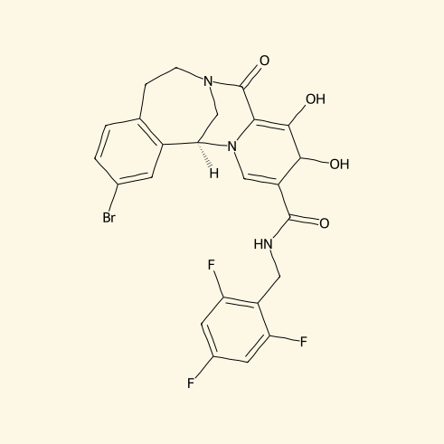 O=C(NCc1c(F)cc(F)cc1F)C1=CN2C(=C(O)C1O)C(=O)N1CCc3ccc(Br)cc3[C@H]2C1